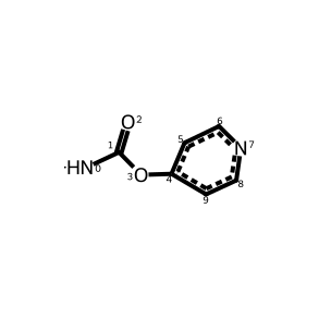 [NH]C(=O)Oc1ccncc1